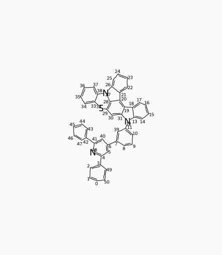 c1ccc(-c2cc(-c3cccc(-n4c5ccccc5c5c6c7ccccc7n7c6c(cc54)Sc4ccccc4-7)c3)cc(-c3ccccc3)n2)cc1